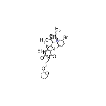 C=C(Cl)/C=C\C(=C(C)C)c1nc2c(c(=O)n(CCCOC3CCCCO3)c(=O)n2CC)n1Cc1ccc(Br)cc1